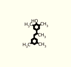 C/C(=C\c1cc(C)cc(C)c1)c1cc(C)c(O)c(C)c1